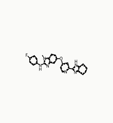 Cn1c(Nc2ccc(F)cc2)nc2cc(Oc3ccnc(-c4nc5ccccc5[nH]4)c3)ccc21